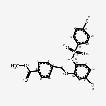 COC(=O)c1ccc(COc2cc(Cl)ccc2NS(=O)(=O)c2ccc(Cl)cc2)cc1